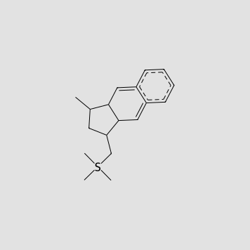 CC1CC(CS(C)(C)C)C2C=c3ccccc3=CC12